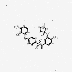 C[C@@]1(Oc2cc(NS(=O)(=O)c3ccc(Oc4cccc(C(F)(F)F)c4Cl)cc3)ccc2C(F)(F)F)CCNC1